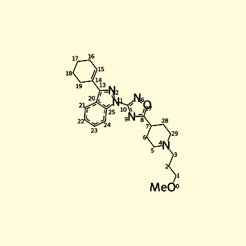 COCCCN1CCC(c2nc(-n3nc(C4=CCCCC4)c4ccccc43)no2)CC1